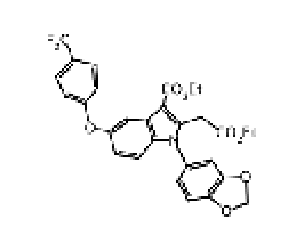 CCOC(=O)Cc1c(C(=O)OCC)c2cc(Oc3ccc(C(F)(F)F)cc3)ccc2n1-c1ccc2c(c1)OCO2